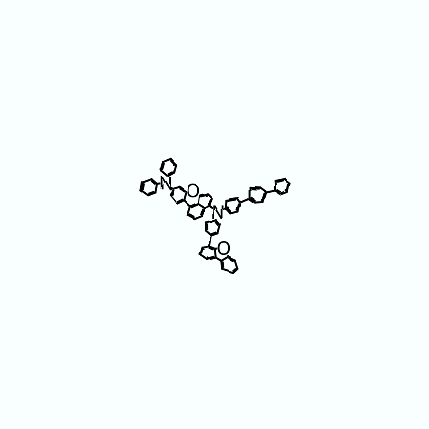 c1ccc(-c2ccc(-c3ccc(N(c4ccc(-c5cccc6c5oc5ccccc56)cc4)c4ccc5c6c(cccc46)-c4ccc(N(c6ccccc6)c6ccccc6)cc4O5)cc3)cc2)cc1